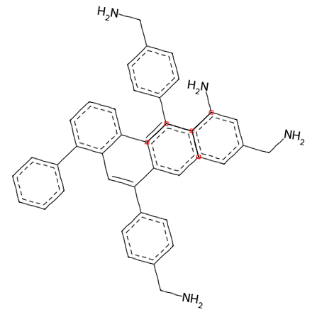 NCc1ccc(C(=Cc2cccc(-c3ccccc3)c2C=C(c2ccc(CN)cc2)c2ccc(CN)cc2)c2ccc(CN)cc2)cc1